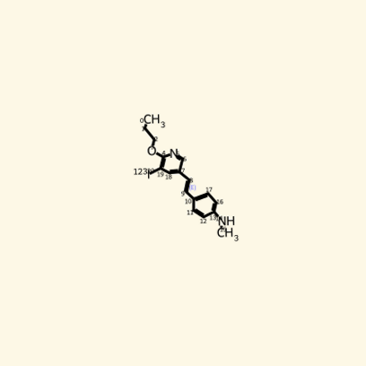 CCCOc1ncc(/C=C/c2ccc(NC)cc2)cc1[123I]